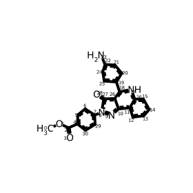 COC(=O)c1ccc(-n2nc3c4ccccc4[nH]c(-c4ccc(N)cc4)c-3c2=O)cc1